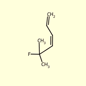 C=C/C=C\C(C)(C)F